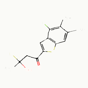 COc1cc2sc(C(=O)CC(O)(S)C(=O)O)cc2c(F)c1OC